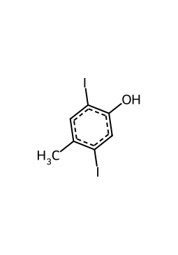 Cc1cc(I)c(O)cc1I